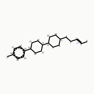 C/C=C/CCC1CCC(C2CCC(c3ccc(C)cc3)CC2)CC1